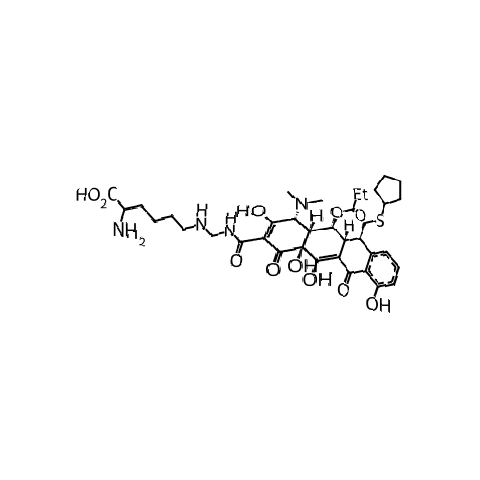 CCC(=O)O[C@H]1[C@H]2C(=C(O)[C@]3(O)C(=O)C(C(=O)NCNCCCCC(N)C(=O)O)=C(O)[C@H](N(C)C)[C@H]13)C(=O)c1c(O)cccc1[C@@H]2CSC1CCCC1